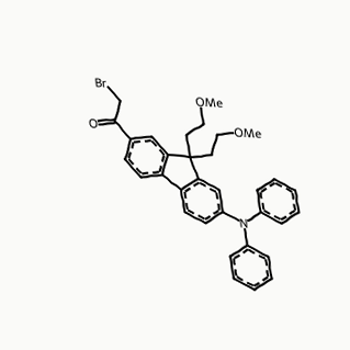 COCCC1(CCOC)c2cc(C(=O)CBr)ccc2-c2ccc(N(c3ccccc3)c3ccccc3)cc21